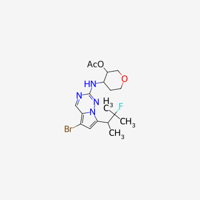 CC(=O)OC1COCCC1Nc1ncc2c(Br)cc(C(C)C(C)(C)F)n2n1